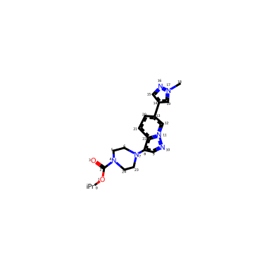 CC(C)OC(=O)N1CCN(c2cnn3cc(-c4cnn(C)c4)ccc23)CC1